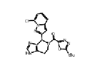 CC(C)(C)c1nnc(C(=O)N2CCc3[nH]cnc3[C@H]2c2cc3cccc(Cl)n3n2)o1